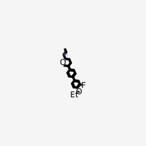 C/C=C/C1CCC(c2ccc(-c3ccc(OCC)c(F)c3)cc2)CO1